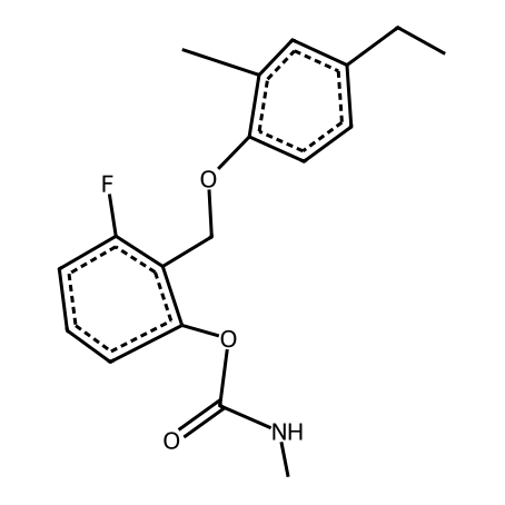 CCc1ccc(OCc2c(F)cccc2OC(=O)NC)c(C)c1